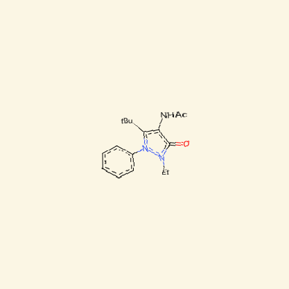 CCn1c(=O)c(NC(C)=O)c(C(C)(C)C)n1-c1ccccc1